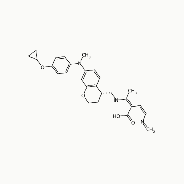 C=N/C=C\C(C(=O)O)=C(/C)NC[C@@H]1CCOc2cc(N(C)c3ccc(OC4CC4)cc3)ccc21